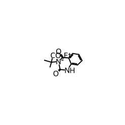 CCOC(=O)C(C)(C)n1c(=O)[nH]c2ccccc2c1=O